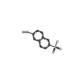 CNc1ccc2cc(S(=O)(=O)Cl)ccc2c1